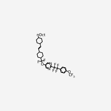 CCCCCCCCC1CCC(/C=C/C2CCC(C(F)(F)Oc3cnc(C(F)(F)C(F)(F)c4ccc(OC(F)(F)F)cc4)nc3)CC2)CC1